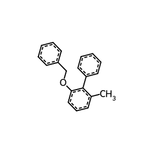 Cc1cccc(OCc2ccccc2)c1-c1ccccc1